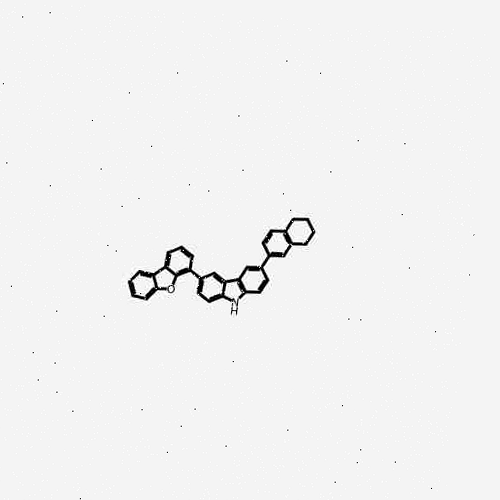 c1ccc2c(c1)oc1c(-c3ccc4[nH]c5ccc(-c6ccc7c(c6)CCCC7)cc5c4c3)cccc12